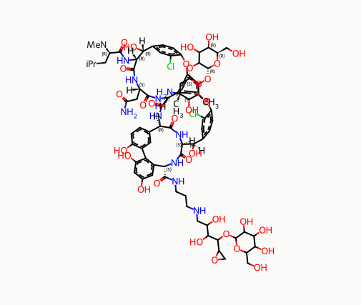 CN[C@H](CC(C)C)C(=O)N[C@H]1C(=O)N[C@@H](CC(N)=O)C(=O)N[C@H]2C(=O)N[C@H]3C(=O)N[C@H](C(=O)N[C@H](C(=O)NCCCNCC(O)C(O)C(OC4OC(CO)C(O)C(O)C4O)C4CO4)c4cc(O)cc(O)c4-c4cc3ccc4O)[C@H](O)c3ccc(c(Cl)c3)Oc3cc2cc(c3O[C@H]2O[C@H](CO)[C@H](O)C(O)C2O[C@H]2C[C@@](C)(N)[C@H](O)C(C)O2)Oc2ccc(cc2Cl)[C@H]1O